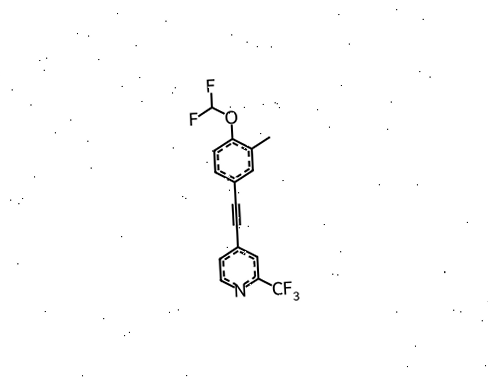 Cc1cc(C#Cc2ccnc(C(F)(F)F)c2)ccc1OC(F)F